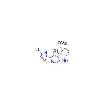 CCc1noc(-c2ncc3[nH]c4cccc(COC)c4c3c2C)n1